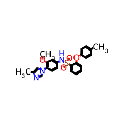 COc1cc(NS(=O)(=O)c2ccccc2Oc2ccc(C)cc2)ccc1-n1cnc(C)c1